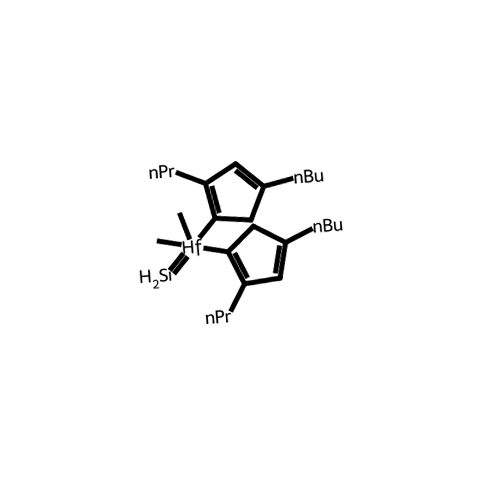 CCCCC1=CC(CCC)=[C]([Hf]([CH3])([CH3])(=[SiH2])[C]2=C(CCC)C=C(CCCC)C2)C1